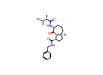 CCN[C@@H](C)C(=O)N[C@H]1CCC[C@H]2CC[C@@H](C(=O)NCc3ccccc3)N2C1=O